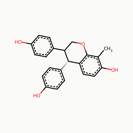 Cc1c(O)ccc2c1OCC(c1ccc(O)cc1)[C@H]2c1ccc(O)cc1